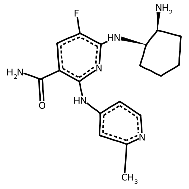 Cc1cc(Nc2nc(N[C@@H]3CCCC[C@@H]3N)c(F)cc2C(N)=O)ccn1